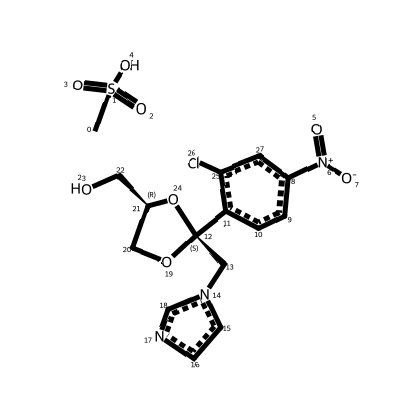 CS(=O)(=O)O.O=[N+]([O-])c1ccc([C@]2(Cn3ccnc3)OC[C@@H](CO)O2)c(Cl)c1